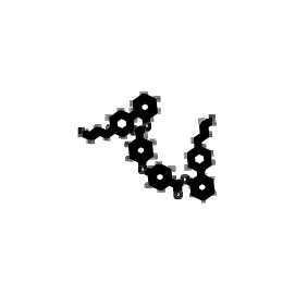 O=C(Oc1ccccc1C1CCC(CC=CF)CC1)c1ccc(Oc2ccc(C(=O)Oc3ccccc3C3CCC(CC=CF)CC3)cc2)cc1